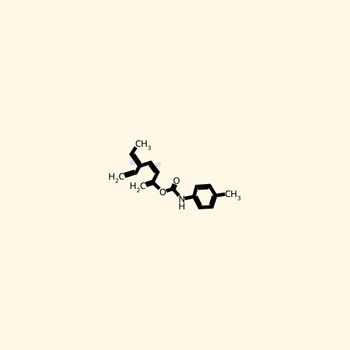 C=CC(/C=C\C(=C)OC(=O)Nc1ccc(C)cc1)=C/C